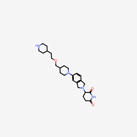 O=C1CCC(N2Cc3ccc(N4CCC(COCCC5CCNCC5)CC4)cc3C2)C(=O)N1